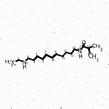 CCNCCCCCCCCCCCNC(=O)C(C)C